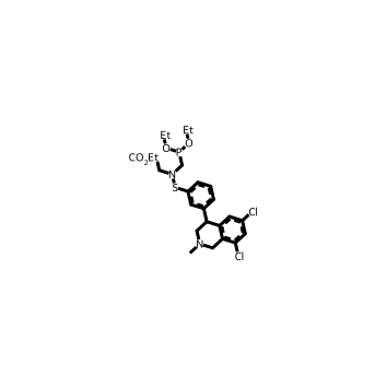 CCOC(=O)CN(CP(OCC)OCC)Sc1cccc(C2CN(C)Cc3c(Cl)cc(Cl)cc32)c1